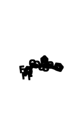 O=C(COC(=O)[C@@H]1CCCN1C(=O)OCc1ccccc1)c1cc(F)c(F)c(F)c1